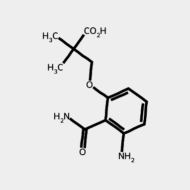 CC(C)(COc1cccc(N)c1C(N)=O)C(=O)O